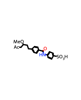 COC(CCc1ccc(C(=O)Nc2ccc(S(=O)(=O)O)cc2)cc1)CC(C)=O